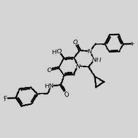 O=C(NCc1ccc(F)cc1)c1cn2c(c(O)c1=O)C(=O)N(Cc1ccc(F)cc1)NC2C1CC1